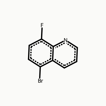 Fc1ccc(Br)c2cccnc12